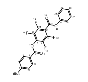 CCC(C)c1ccc(C(=O)Oc2c(F)c(F)c(C(=O)Oc3ccccc3)c(F)c2F)cc1